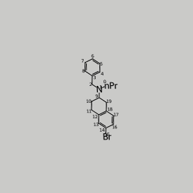 CCCN(Cc1ccccc1)C1CCc2cc(Br)ccc2C1